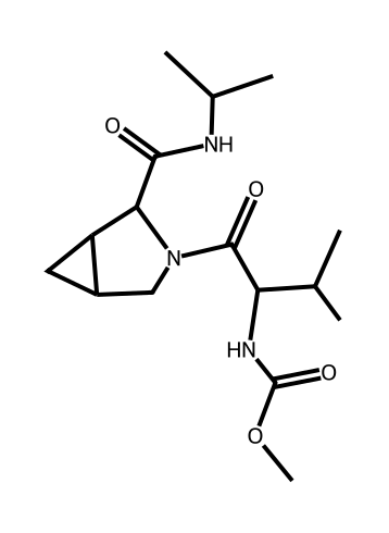 COC(=O)NC(C(=O)N1CC2CC2C1C(=O)NC(C)C)C(C)C